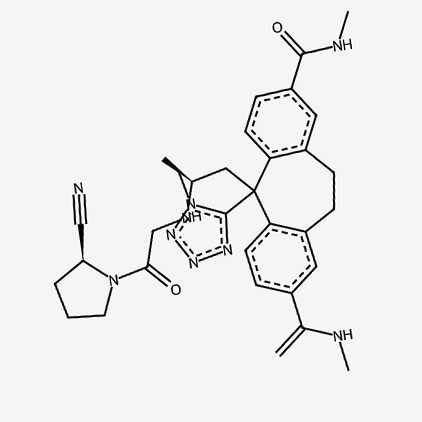 C=C(NC)c1ccc2c(c1)CCc1cc(C(=O)NC)ccc1C2(C[C@H](C)NCC(=O)N1CCC[C@H]1C#N)c1nnnn1C